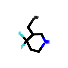 CC(C)CC1CNCCC1(F)F